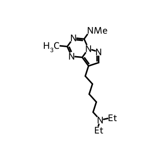 CCN(CC)CCCCCc1cnn2c(NC)nc(C)nc12